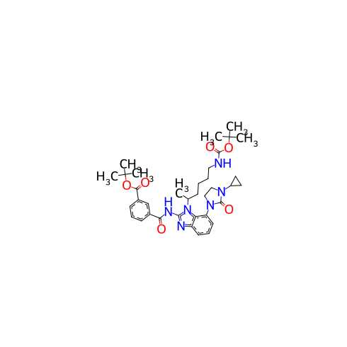 CC(CCCCNC(=O)OC(C)(C)C)n1c(NC(=O)c2cccc(C(=O)OC(C)(C)C)c2)nc2cccc(N3CCN(C4CC4)C3=O)c21